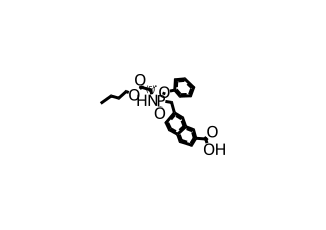 CCCCOC(=O)[C@H](C)NP(=O)(Cc1ccc2ccc(C(=O)O)cc2c1)Oc1ccccc1